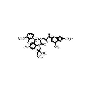 CCOC(=O)c1cc2cc(NC(=O)C[C@H]3O[C@H](c4cccc(OC)c4OC)c4cc(Cl)ccc4N(CC(C)(C)COC(C)=O)C3=O)cc(C)c2o1